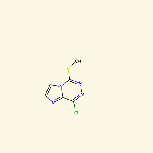 CSc1nnc(Cl)c2nccn12